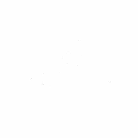 Cc1cc(S(N)(=O)=O)ccc1-c1sc(C(=O)N2CC3CC3C2)nc1-c1ccc(Cl)cc1